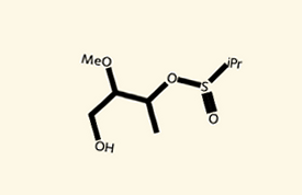 COC(CO)C(C)OS(=O)C(C)C